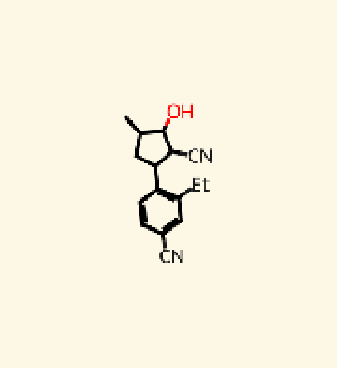 CCc1cc(C#N)ccc1C1CC(C)C(O)C1C#N